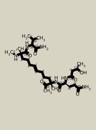 CN[C@@](C)(CCC/C=C/CCC[C@](C)(NC(=O)[C@H](CCC(N)=O)NC(=O)C[C@@H](C)O)C(C)=O)C(=O)NC(C(N)=O)C(C)C